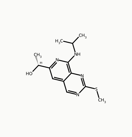 CSc1ncc2cc([C@@H](C)O)nc(NC(C)C)c2n1